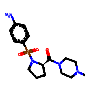 CN1CCN(C(=O)[C@@H]2CCCN2S(=O)(=O)c2ccc(N)cc2)CC1